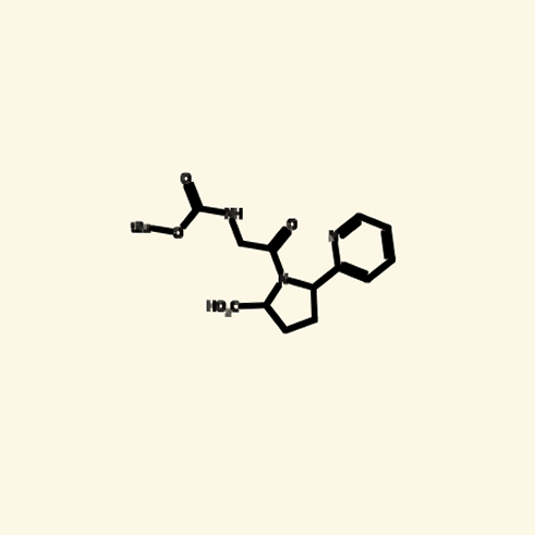 CC(C)(C)OC(=O)NCC(=O)N1C(C(=O)O)CCC1c1ccccn1